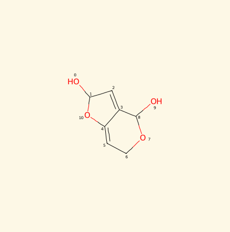 OC1C=C2C(=CCOC2O)O1